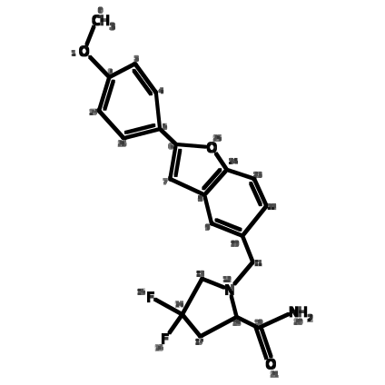 COc1ccc(-c2cc3cc(CN4CC(F)(F)CC4C(N)=O)ccc3o2)cc1